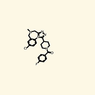 CN1Cc2cc(Cl)ccc2-n2c(nnc2C2CCN(C(=O)c3ccc(F)cc3)CC2)C1